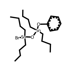 CCC[CH2][Sn]([Br])([CH2]CCC)[O][Sn]([CH2]CCC)([CH2]CCC)[O]c1ccccc1